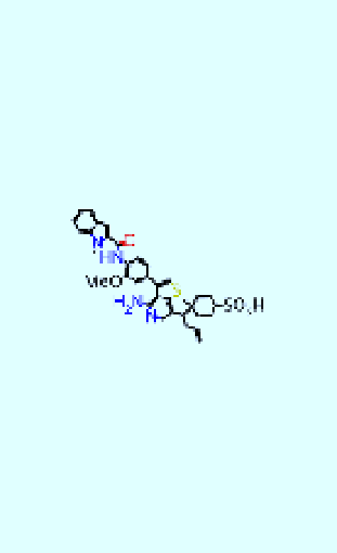 C=CCC(c1cnc(N)c2c(-c3ccc(NC(=O)c4cc5ccccc5n4C)c(OC)c3)csc12)C1(C)C=CC(S(=O)(=O)O)C=C1